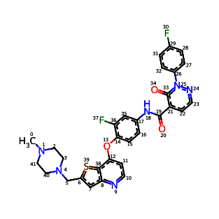 CN1CCN(Cc2cc3nccc(Oc4ccc(NC(=O)c5ccnn(-c6ccc(F)cc6)c5=O)cc4F)c3s2)CC1